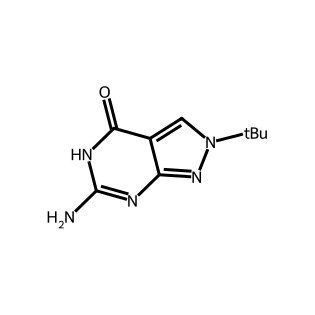 CC(C)(C)n1cc2c(=O)[nH]c(N)nc2n1